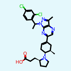 Cc1nn(C(C)c2ccc(Cl)cc2Cl)c2nc(C3=CC[C@H](N4CCC[C@H]4CCC(=O)O)[C@H](C)C3)cnc12